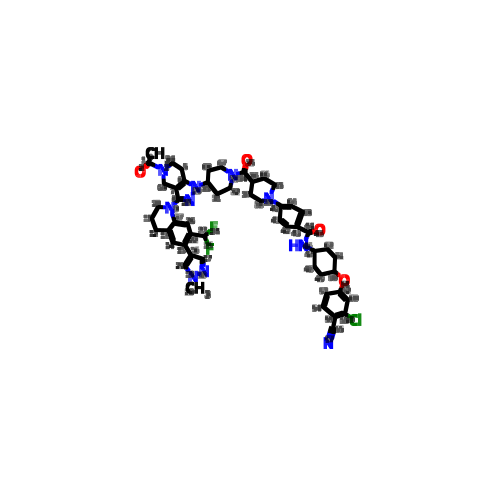 CC(=O)N1CCc2c(c(N3CCCc4cc(-c5cnn(C)c5)c(C(F)F)cc43)nn2C2CCN(C(=O)C3CCN(c4ccc(C(=O)NC5CCC(Oc6ccc(C#N)c(Cl)c6)CC5)cc4)CC3)CC2)C1